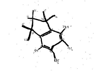 [2H]c1c([2H])c2c(c([2H])c1Br)C(C)(C)C(C)(C)C2(C)C